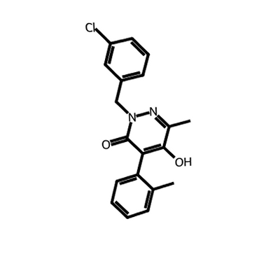 Cc1ccccc1-c1c(O)c(C)nn(Cc2cccc(Cl)c2)c1=O